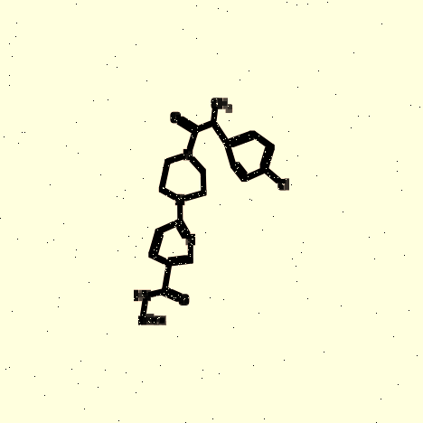 CCCCCCNC(=O)c1ccc(N2CCN(C(=O)C(C)c3ccc(Cl)cc3)CC2)nc1